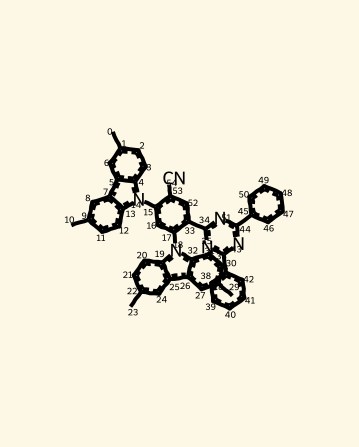 Cc1ccc2c(c1)c1cc(C)ccc1n2-c1cc(-n2c3ccc(C)cc3c3cc(C)ccc32)c(-c2nc(-c3ccccc3)nc(-c3ccccc3)n2)cc1C#N